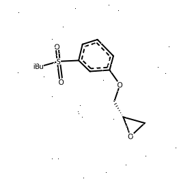 CCC(C)S(=O)(=O)c1cccc(OC[C@@H]2CO2)c1